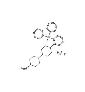 CCCCC[C@H]1CC[C@H]([C@H]2CC[C@H](c3ccccc3[P+](C)(c3ccccc3)c3ccccc3)CC2)CC1.P.[I-]